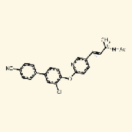 CC(=O)N[C@@H](C)/C=C/c1ccc(Oc2ccc(-c3ccc(C#N)cc3)cc2Cl)nc1